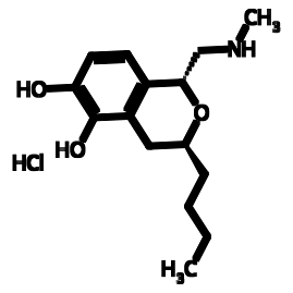 CCCC[C@H]1Cc2c(ccc(O)c2O)[C@H](CNC)O1.Cl